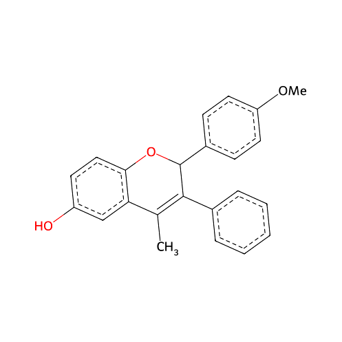 COc1ccc(C2Oc3ccc(O)cc3C(C)=C2c2ccccc2)cc1